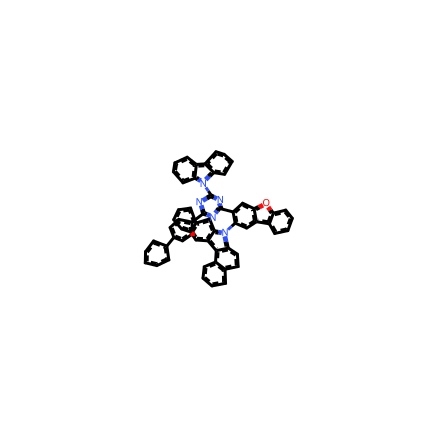 c1ccc(-c2ccc(-c3nc(-c4cc5oc6ccccc6c5cc4-n4c5cc6ccccc6cc5c5c6ccccc6ccc54)nc(-n4c5ccccc5c5ccccc54)n3)cc2)cc1